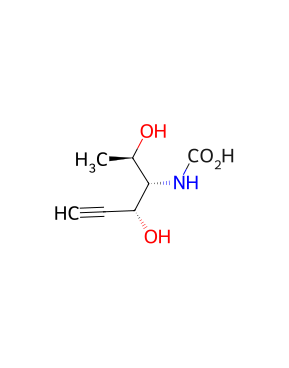 C#C[C@@H](O)[C@@H](NC(=O)O)[C@@H](C)O